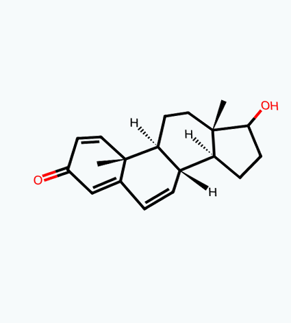 C[C@]12C=CC(=O)C=C1C=C[C@@H]1[C@@H]2CC[C@]2(C)C(O)CC[C@@H]12